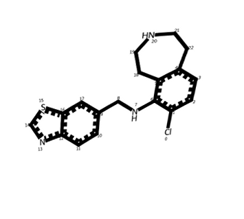 Clc1ccc2c(c1NCc1ccc3ncsc3c1)CCNCC2